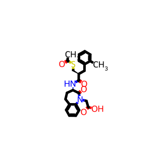 CC(=O)SC[C@@H](Cc1ccccc1C)C(=O)N[C@H]1CCc2ccccc2N(CC(=O)O)C1=O